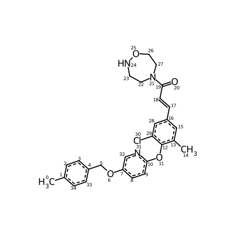 Cc1ccc(COc2ccc(Oc3c(C)cc(/C=C/C(=O)N4CCNOCC4)cc3Cl)nc2)cc1